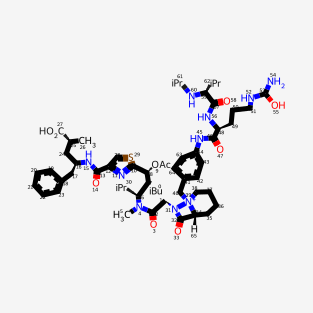 CC[C@H](C)[C@@H](C(=O)N(C)[C@H](C[C@@H](OC(C)=O)c1nc(C(=O)N[C@@H](Cc2ccccc2)C[C@H](C)C(=O)O)cs1)C(C)C)N1C(=O)[C@H]2CCCC[N+]21Cc1ccc(NC(=O)[C@H](CCCNC(N)O)NC(=O)[C@@H](NC(C)C)C(C)C)cc1